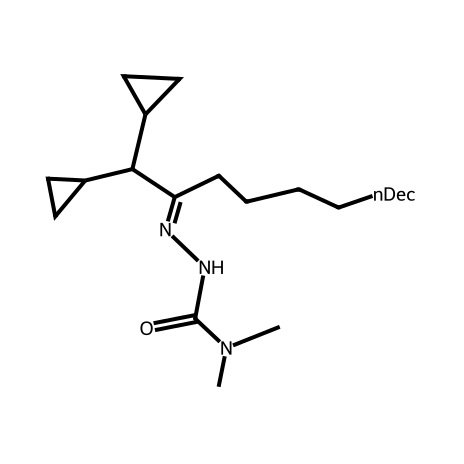 CCCCCCCCCCCCCCC(=NNC(=O)N(C)C)C(C1CC1)C1CC1